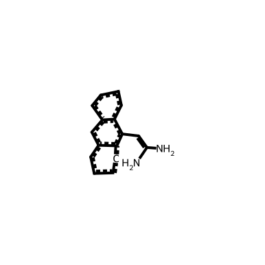 NC(N)=Cc1c2ccccc2cc2ccccc12